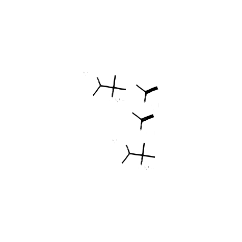 C=C(C)C(=O)O.C=C(C)C(=O)O.COC(C)C(C)(C)OC.COC(C)C(C)(C)OC